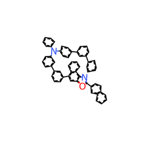 c1ccc(-c2cccc(-c3ccc(N(c4ccccc4)c4cccc(-c5cccc(-c6cc7oc(-c8ccc9ccccc9c8)nc7c7ccccc67)c5)c4)cc3)c2)cc1